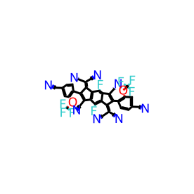 N#CC(C#N)=C1C(c2ccc(C#N)cc2OC(F)(F)F)=C(C#N)c2c(F)c3c(c(F)c21)C(C#N)=C(c1ccc(C#N)cc1OC(F)(F)F)C3=C(C#N)C#N